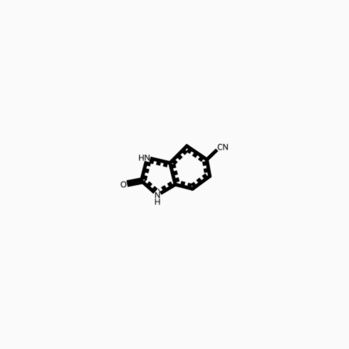 N#Cc1ccc2[nH]c(=O)[nH]c2c1